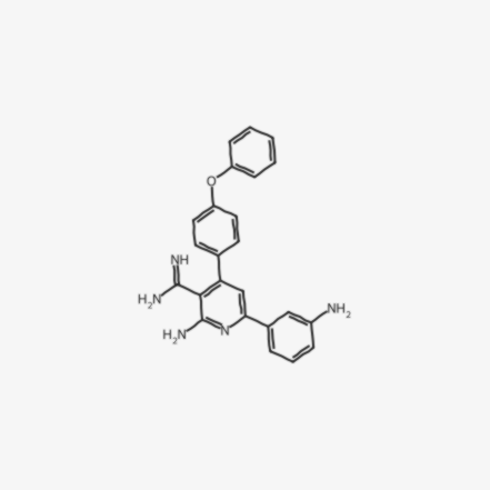 N=C(N)c1c(-c2ccc(Oc3ccccc3)cc2)cc(-c2cccc(N)c2)nc1N